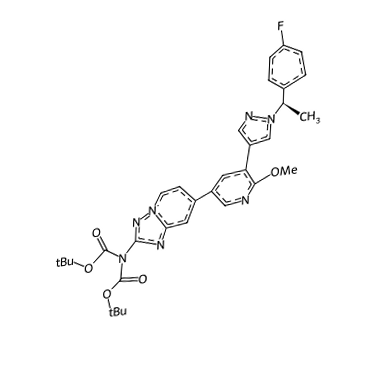 COc1ncc(-c2ccn3nc(N(C(=O)OC(C)(C)C)C(=O)OC(C)(C)C)nc3c2)cc1-c1cnn([C@H](C)c2ccc(F)cc2)c1